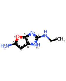 CCNc1nc2oc(N)cc2[nH]1